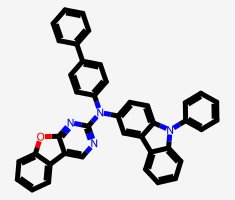 c1ccc(-c2ccc(N(c3ccc4c(c3)c3ccccc3n4-c3ccccc3)c3ncc4c(n3)oc3ccccc34)cc2)cc1